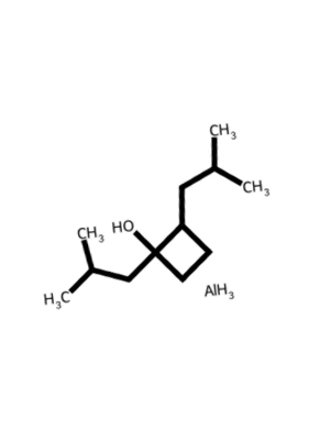 CC(C)CC1CCC1(O)CC(C)C.[AlH3]